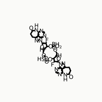 BP1(=O)OC[C@H]2O[C@@H](n3nc4c5c(ncnc53)NC(=O)CC4)C(F)C2OP(=O)(S)OC[C@H]2O[C@@H](n3nc4c5c(ncnc53)NC(=O)CC4)C(F)C2O1